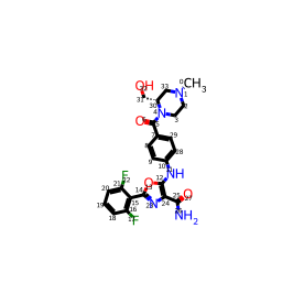 CN1CCN(C(=O)c2ccc(Nc3oc(-c4c(F)cccc4F)nc3C(N)=O)cc2)[C@H](CO)C1